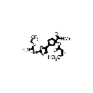 CNC(=O)C1(OC(=O)/C=C\C(=O)O)CCC(c2csc(NC(N)=NCC(F)(F)F)n2)C1